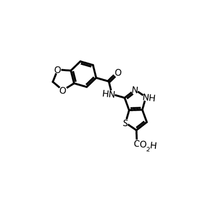 O=C(Nc1n[nH]c2cc(C(=O)O)sc12)c1ccc2c(c1)OCO2